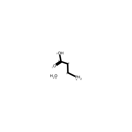 O.O=C(O)CCP